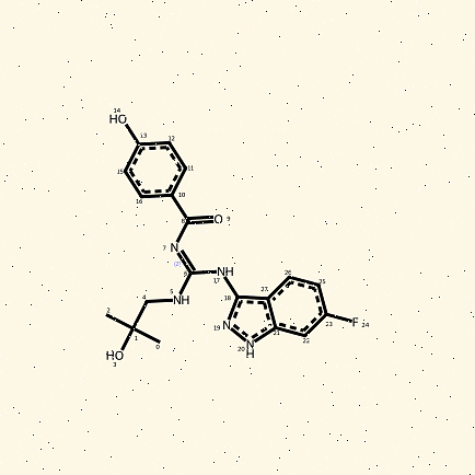 CC(C)(O)CN/C(=N/C(=O)c1ccc(O)cc1)Nc1n[nH]c2cc(F)ccc12